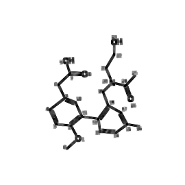 COc1ccc(CC(=O)O)cc1-c1ccc(C)cc1CN(CCO)C(C)=O